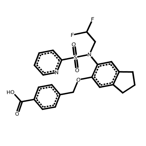 O=C(O)c1ccc(COc2cc3c(cc2N(CC(F)F)S(=O)(=O)c2ccccn2)CCC3)cc1